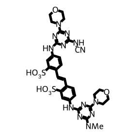 CNc1nc(Nc2ccc(/C=C/c3ccc(Nc4nc(NC#N)nc(N5CCOCC5)n4)cc3S(=O)(=O)O)c(S(=O)(=O)O)c2)nc(N2CCOCC2)n1